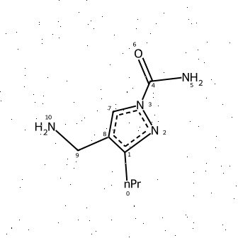 CCCc1nn(C(N)=O)cc1CN